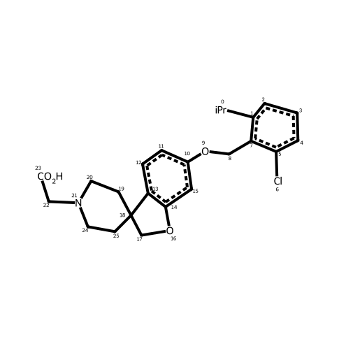 CC(C)c1cccc(Cl)c1COc1ccc2c(c1)OCC21CCN(CC(=O)O)CC1